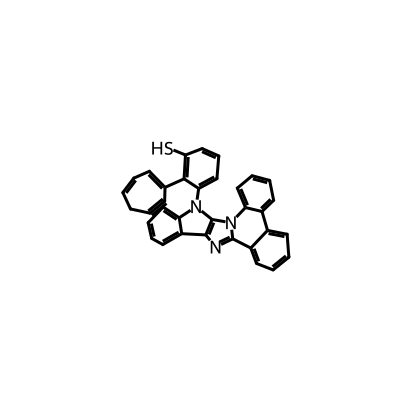 Sc1cccc(-n2c3ccccc3c3nc4c5ccccc5c5ccccc5n4c32)c1C1=CC=CCC#C1